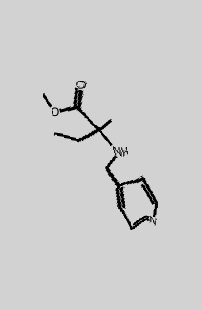 CCC(C)(NCc1ccncc1)C(=O)OC